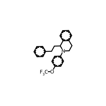 FC(F)(F)Oc1ccc(N2CCc3ccccc3C2CCc2ccccc2)cc1